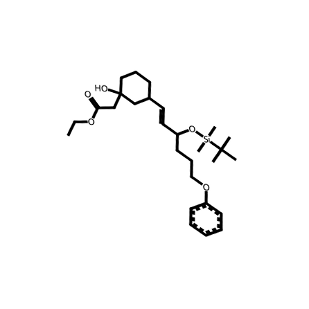 CCOC(=O)CC1(O)CCCC(C=CC(CCCOc2ccccc2)O[Si](C)(C)C(C)(C)C)C1